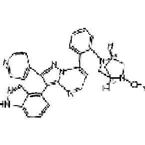 CN1C[C@@H]2C[C@H]1CN2c1ccccc1-c1ccnc2c(-c3cccc4[nH]ncc34)c(-c3ccncc3)nn12